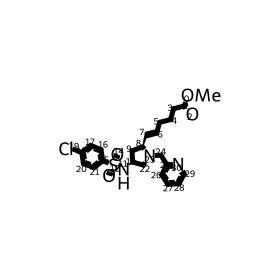 COC(=O)CCCC=C[C@@H]1C[C@@H](NS(=O)(=O)c2ccc(Cl)cc2)CN1Cc1ccccn1